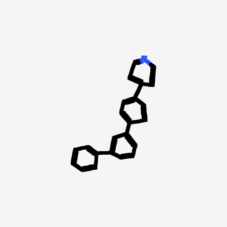 c1ccc(-c2cccc(-c3ccc(-c4ccncc4)cc3)c2)cc1